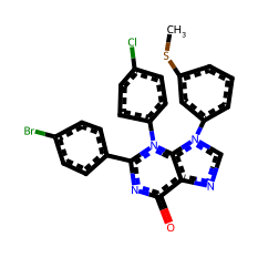 CSc1cccc(-n2cnc3c(=O)nc(-c4ccc(Br)cc4)n(-c4ccc(Cl)cc4)c32)c1